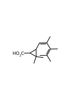 CC(=CC1C(C(=O)O)C1(C)C)C(C)=C(C)C